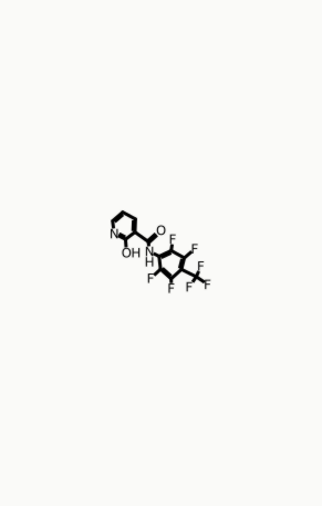 O=C(Nc1c(F)c(F)c(C(F)(F)F)c(F)c1F)c1cccnc1O